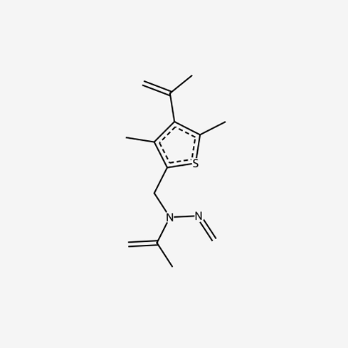 C=NN(Cc1sc(C)c(C(=C)C)c1C)C(=C)C